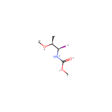 COC(=O)N[C@H](I)[C@H](C)OC